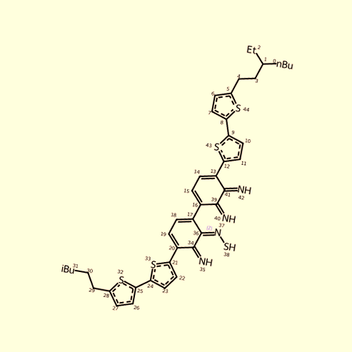 CCCCC(CC)CCc1ccc(-c2ccc(C3=CC=C(C4=CC=C(c5ccc(-c6ccc(CCC(C)CC)s6)s5)C(=N)/C4=N\S)C(=N)C3=N)s2)s1